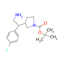 CC(C)(C)OC(=O)N1CCC(C(CN)c2ccc(F)cc2)C1